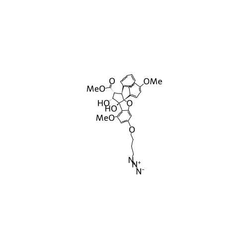 COC(=O)[C@H]1[C@@H](O)[C@@]2(O)c3c(OC)cc(OCCCCN=[N+]=[N-])cc3O[C@@]2(c2ccc(OC)cc2)[C@@H]1c1ccccc1